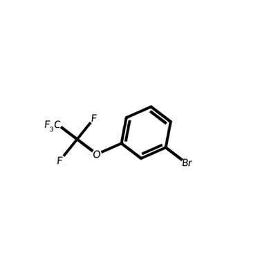 FC(F)(F)C(F)(F)Oc1cccc(Br)c1